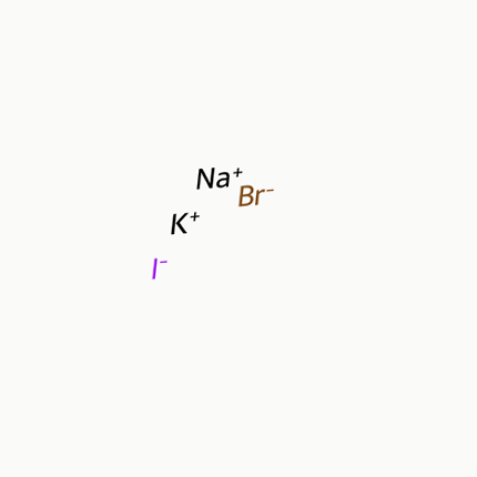 [Br-].[I-].[K+].[Na+]